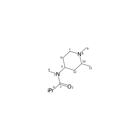 CC(C)C(=O)N(C)C1CCN(C)C(C)C1